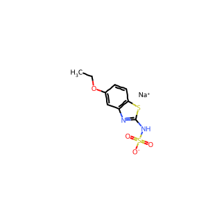 CCOc1ccc2sc(NS(=O)(=O)[O-])nc2c1.[Na+]